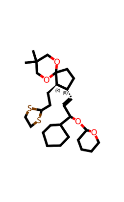 CC1(C)COC2(CC[C@H](C=CC(OC3CCCCO3)C3CCCCC3)[C@H]2CCC2SCCS2)OC1